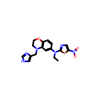 CCN(c1ccc2c(c1)N(Cc1c[nH]cn1)CCO2)c1ncc([N+](=O)[O-])s1